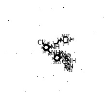 CN1CCN(CCCNc2cc(Cl)ccc2CNc2cccc3c2cnn3S(=O)(=O)Nc2ncns2)CC1